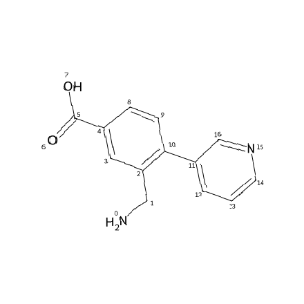 NCc1cc(C(=O)O)ccc1-c1cccnc1